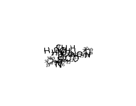 CC(C)(C)NS(=O)(=O)c1cc(NC(=O)OCC2=NCCC=C2)ccc1-c1cnc(C2CCCCC2)s1